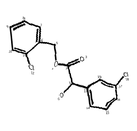 [O]C(C(=O)OCc1ccccc1Cl)c1cccc(Cl)c1